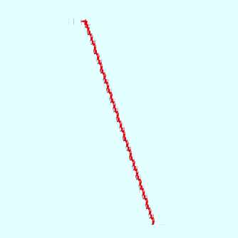 CC=C(C)C(=O)OCCCOCCOCCOCCOCCOCCOCCOCCOCCOCCOCCOCCOCCOCCOCCOCCOCCOCCOCCOCCOCCOCCOCCOCCOCCOCCOCCOCCOCCOCCOCCOCCOCCOCCOCCOCCOCCOCCOCCOCCOCCO